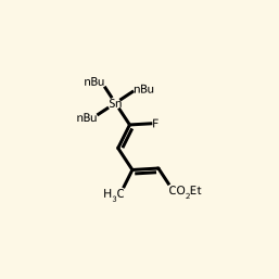 CCC[CH2][Sn]([CH2]CCC)([CH2]CCC)[C](F)=CC(C)=CC(=O)OCC